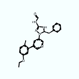 CCOc1ccc(C)c(-c2cncc(N3N=C(NC=O)NC3Cc3ccccc3)c2)c1